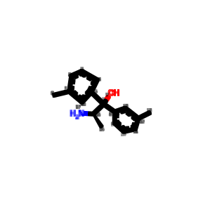 Cc1cccc(C(O)(c2cccc(C)c2)[C@@H](C)N)c1